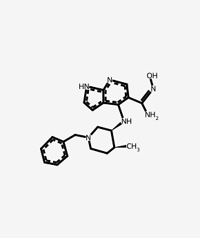 C[C@H]1CCN(Cc2ccccc2)C[C@H]1Nc1c(/C(N)=N\O)cnc2[nH]ccc12